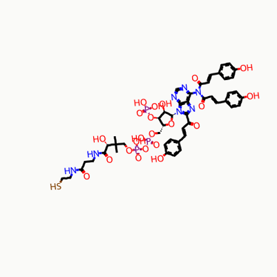 CC(C)(COP(=O)(O)OP(=O)(O)OC[C@H]1O[C@@H](n2c(C(=O)/C=C/c3ccc(O)cc3)nc3c(N(C(=O)/C=C/c4ccc(O)cc4)C(=O)/C=C/c4ccc(O)cc4)ncnc32)[C@H](O)[C@@H]1OP(=O)(O)O)[C@@H](O)C(=O)NCCC(=O)NCCS